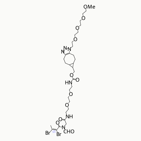 COCCOCCOCCOCCn1nnc2c1CCC1C(CC2)C1COC(=O)NCCOCCOCCNC(=O)CN(C=O)C(=O)/C(Br)=C(\C)Br